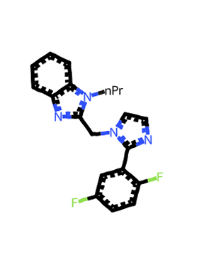 CCCn1c(Cn2ccnc2-c2cc(F)ccc2F)nc2ccccc21